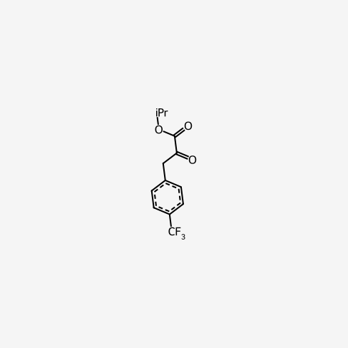 CC(C)OC(=O)C(=O)Cc1ccc(C(F)(F)F)cc1